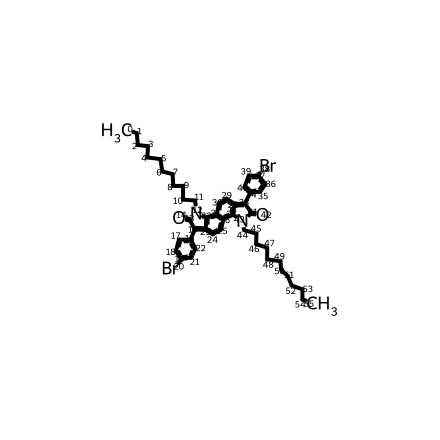 CCCCCCCCCCCCN1C(=O)C(c2ccc(Br)cc2)=c2ccc3c4c(ccc3c21)=C(c1ccc(Br)cc1)C(=O)N4CCCCCCCCCCCC